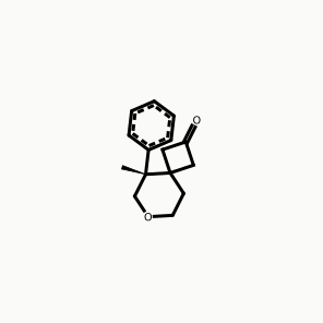 C[C@]1(c2ccccc2)COCCC12CC(=O)C2